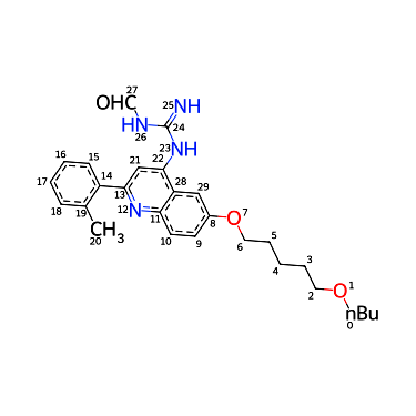 CCCCOCCCCCOc1ccc2nc(-c3ccccc3C)cc(NC(=N)NC=O)c2c1